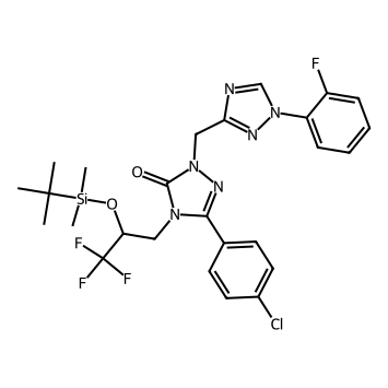 CC(C)(C)[Si](C)(C)OC(Cn1c(-c2ccc(Cl)cc2)nn(Cc2ncn(-c3ccccc3F)n2)c1=O)C(F)(F)F